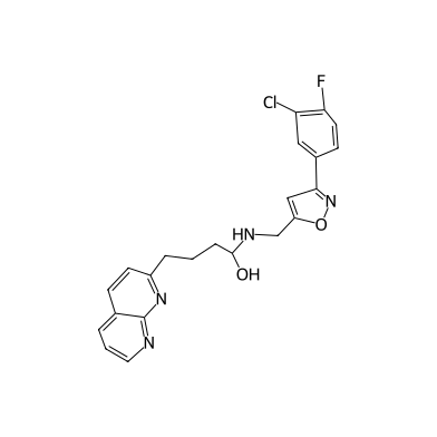 OC(CCCc1ccc2cccnc2n1)NCc1cc(-c2ccc(F)c(Cl)c2)no1